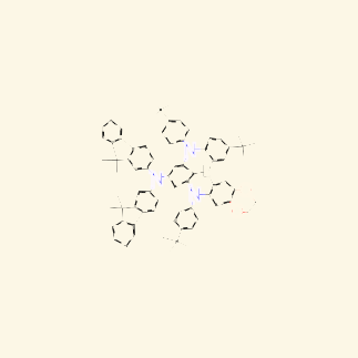 CC(C)(C)c1ccc(N2c3ccc(C(C)(C)C)cc3B3c4cc5c(cc4N(c4ccc(C(C)(C)C)cc4)c4cc(N(c6ccc7c(c6)C(C)(C)c6ccccc6-7)c6ccc7c(c6)C(C)(C)c6ccccc6-7)cc2c43)OCCO5)cc1